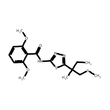 CCC(C)(CSC)c1nnc(NC(=O)c2c(OC)cccc2OC)s1